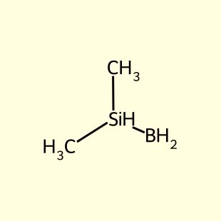 B[SiH](C)C